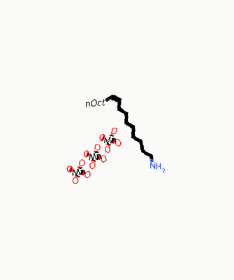 CCCCCCCC/C=C\CCCCCCCCN.[O]=[Mn](=[O])(=[O])=[O].[O]=[Mn](=[O])(=[O])=[O].[O]=[Mn](=[O])(=[O])=[O]